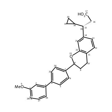 COc1cc(-c2ccc(C3CCc4ccc([C@@H](CC(=O)O)C5CC5)cc4O3)cc2)ccn1